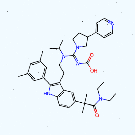 CCN(CC)C(=O)C(C)(C)c1ccc2[nH]c(-c3cc(C)cc(C)c3)c(CCN(C(=NC(=O)O)N3CCC(c4ccncc4)C3)C(C)C)c2c1